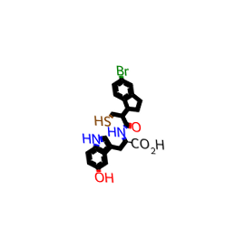 O=C(N[C@@H](Cc1c[nH]c2ccc(O)cc12)C(=O)O)C(CS)C1CCc2cc(Br)ccc21